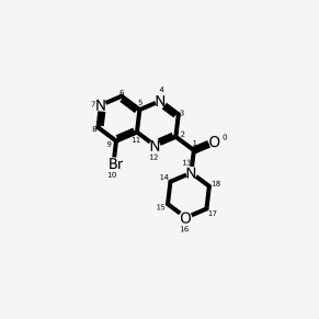 O=C(c1cnc2cncc(Br)c2n1)N1CCOCC1